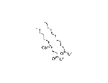 CCCCCCCCCCC(=O)[O-].CCCCCCCCCCC(=O)[O-].[Co+2]